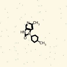 Cc1cc2c(cn1)[nH]c(=O)n2[C@H]1CC[C@H](C)CC1